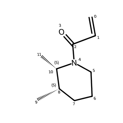 C=CC(=O)N1CCC[C@H](C)[C@@H]1C